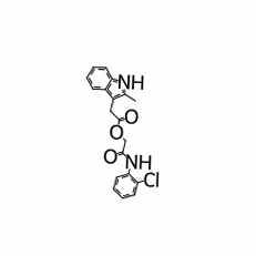 Cc1[nH]c2ccccc2c1CC(=O)OCC(=O)Nc1ccccc1Cl